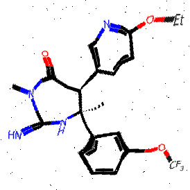 CCOc1ccc([C@@H]2C(=O)N(C)C(=N)N[C@]2(C)c2cccc(OC(F)(F)F)c2)cn1